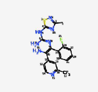 Cc1nsc(N/C(N)=N/C(=C(\N)c2ccnc(C(F)(F)F)c2)c2ccccc2F)n1